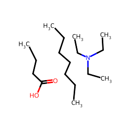 CCCC(=O)O.CCCCCCC.CCN(CC)CC